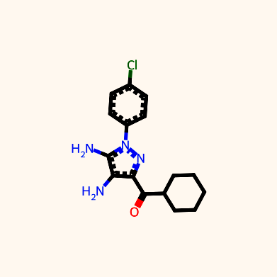 Nc1c(C(=O)C2CCCCC2)nn(-c2ccc(Cl)cc2)c1N